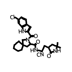 CC1(C)CC(CC(C#N)NC(=O)C2CC3(CCCCC3)CN2C(=O)c2cc3ccc(Cl)cc3[nH]2)C(=O)N1